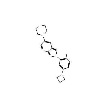 Fc1ccc(N2CCC2)cc1-n1cc2cc(N3CCOCC3)cnc2n1